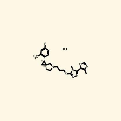 Cc1ncoc1-c1nnc(SCCCN2CC[C@@]3(C[C@@H]3c3ccc(F)cc3C(F)(F)F)C2)n1C.Cl